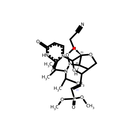 COP(=O)(/C=C/C1OC(n2ccc(=O)[nH]c2=O)[C@@H]2OCC1[C@H]2P(OCCC#N)N(C(C)C)C(C)C)OC